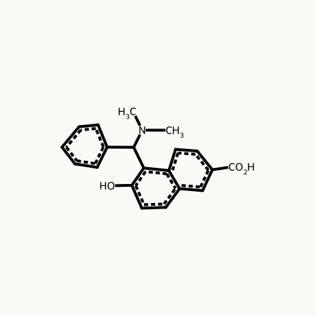 CN(C)C(c1ccccc1)c1c(O)ccc2cc(C(=O)O)ccc12